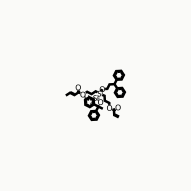 C=CC(=O)OCCC[Si](CCCOC(=O)C=CC)(OCCC(c1ccccc1)c1ccccc1)[SiH2]OC(C)(c1ccccc1)c1ccccc1